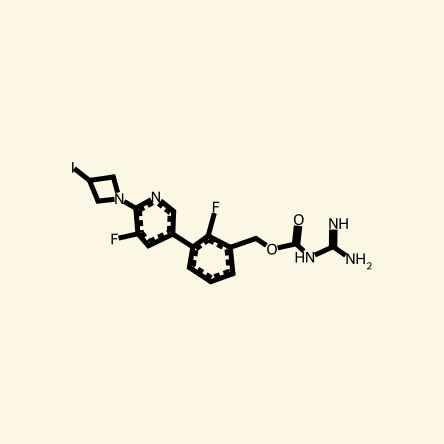 N=C(N)NC(=O)OCc1cccc(-c2cnc(N3CC(I)C3)c(F)c2)c1F